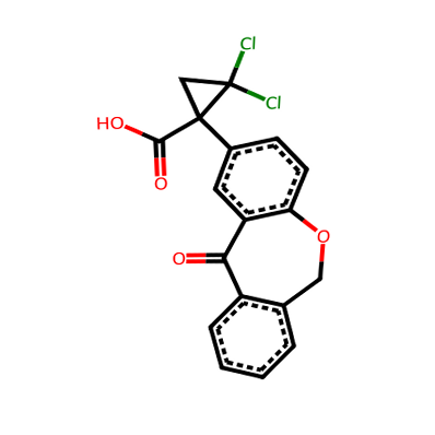 O=C1c2ccccc2COc2ccc(C3(C(=O)O)CC3(Cl)Cl)cc21